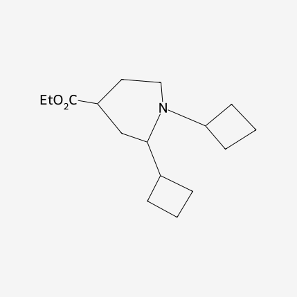 CCOC(=O)C1CCN(C2CCC2)C(C2CCC2)C1